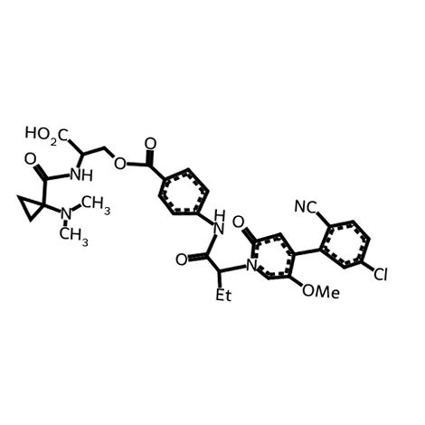 CCC(C(=O)Nc1ccc(C(=O)OCC(NC(=O)C2(N(C)C)CC2)C(=O)O)cc1)n1cc(OC)c(-c2cc(Cl)ccc2C#N)cc1=O